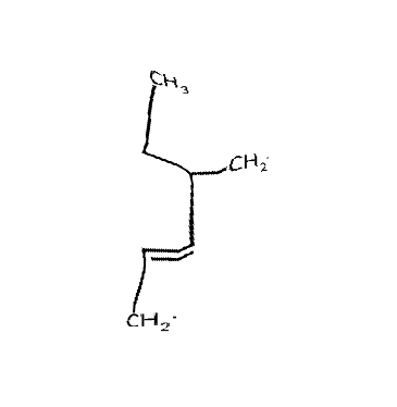 [CH2]C=CC([CH2])CC